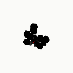 CCc1nc2cccc3c2n1-c1c(-c2ccc4c(-c5ccccc5)c5ccccc5c(-c5ccc6ccccc6c5)c4c2)cccc1P3(=O)c1ccccc1